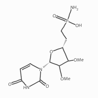 COC1C(OC)[C@@H](CCP(N)(=O)O)O[C@H]1n1ccc(=O)[nH]c1=O